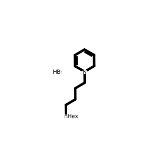 Br.CCCCCCCCCCN1C=CC=CC1